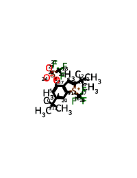 CC(C)(C)c1ccc2cc(C(C)(C)C)[s+](C(F)(F)F)c2c1.O=S(=O)([O-])C(F)(F)F